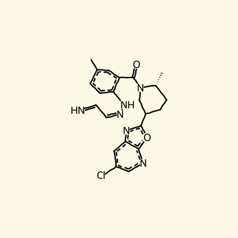 Cc1ccc(N/N=C\C=N)c(C(=O)N2CC(c3nc4cc(Cl)cnc4o3)CC[C@H]2C)c1